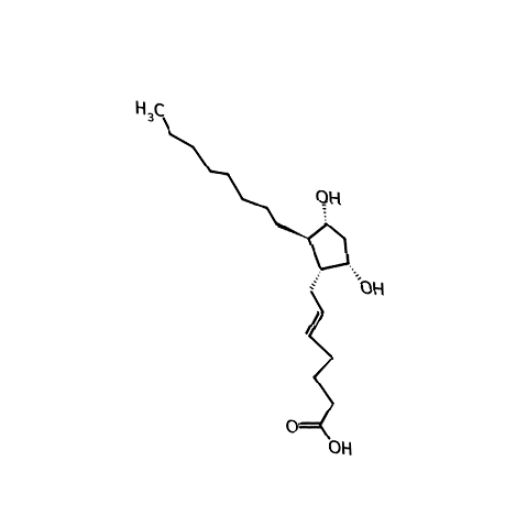 CCCCCCCC[C@@H]1[C@@H](CC=CCCCC(=O)O)[C@@H](O)C[C@H]1O